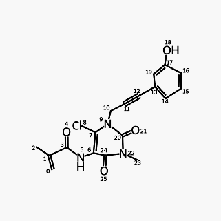 C=C(C)C(=O)Nc1c(Cl)n(CC#Cc2cccc(O)c2)c(=O)n(C)c1=O